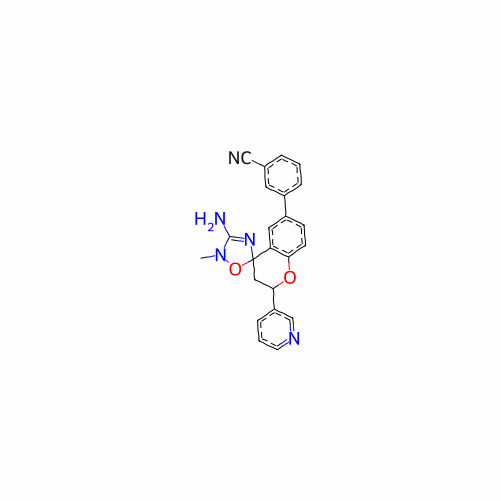 CN1OC2(CC(c3cccnc3)Oc3ccc(-c4cccc(C#N)c4)cc32)N=C1N